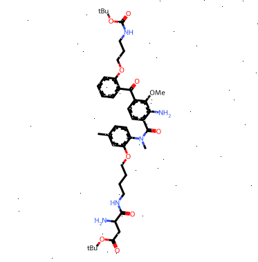 COc1c(C(=O)c2ccccc2OCCCNC(=O)OC(C)(C)C)ccc(C(=O)N(C)c2ccc(C)cc2OCCCCNC(=O)C(N)CC(=O)OC(C)(C)C)c1N